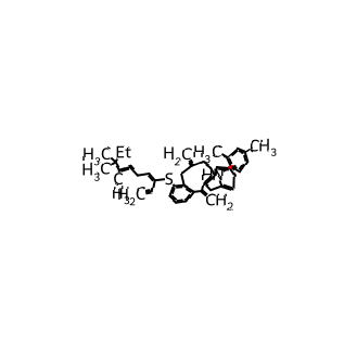 C=C/C(=C\C/C=C(\C)C(C)(C)CC)Sc1cccc2c1CC(=C)CCC1=C(\C/C(Nc3ccc(C)cc3C)=C/C/C=C\1)C2=C